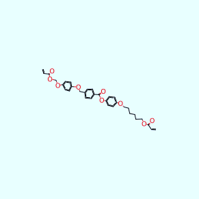 C=CC(=O)OCCCCCCOc1ccc(OC(=O)c2ccc(COc3ccc(OCOC(=O)C=C)cc3)cc2)cc1